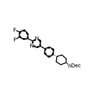 CCCCCCCCCC[C@H]1CC[C@H](c2ccc(-c3cnc(-c4ccc(F)c(F)c4)nc3)cc2)CC1